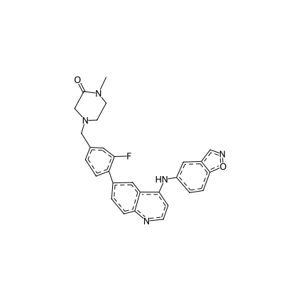 CN1CCN(Cc2ccc(-c3ccc4nccc(Nc5ccc6oncc6c5)c4c3)c(F)c2)CC1=O